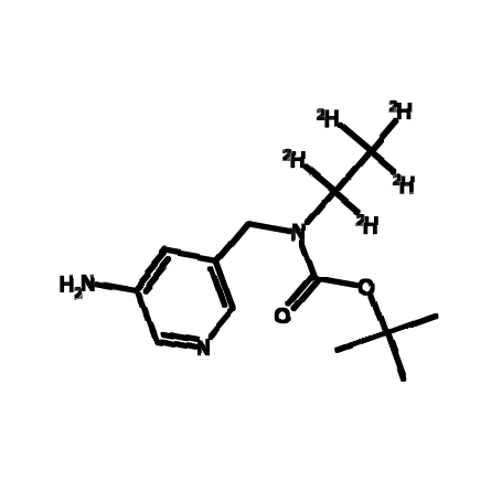 [2H]C([2H])([2H])C([2H])([2H])N(Cc1cncc(N)c1)C(=O)OC(C)(C)C